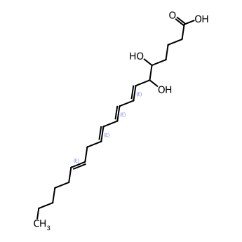 CCCCC/C=C/C/C=C/C=C/C=C/C(O)C(O)CCCC(=O)O